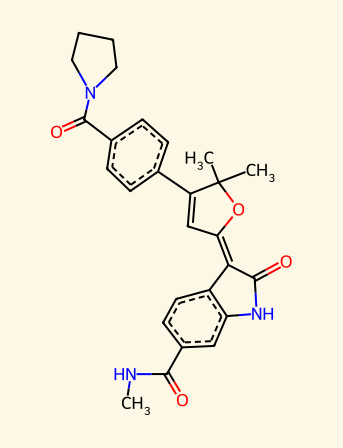 CNC(=O)c1ccc2c(c1)NC(=O)C2=C1C=C(c2ccc(C(=O)N3CCCC3)cc2)C(C)(C)O1